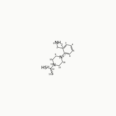 NCc1ccccc1N1CCN(C(=S)S)CC1